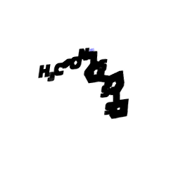 CCO/N=C\c1ccc(-c2ccc(-c3cccs3)s2)s1